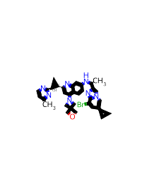 Cc1ccnc([C@H]2C[C@@H]2c2cc(N3CC4(COC4)C3)c3ccc(N[C@H](C)c4cn5cc(C6CC6)cc(Br)c5n4)cc3n2)n1